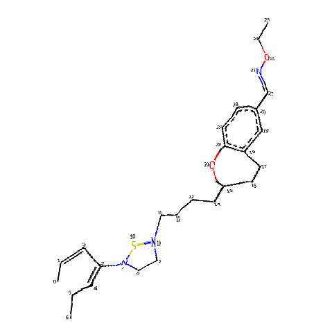 C/C=C\C(=C/CC)N1CCN(CCCCC2CCc3cc(/C=N/OCC)ccc3O2)S1